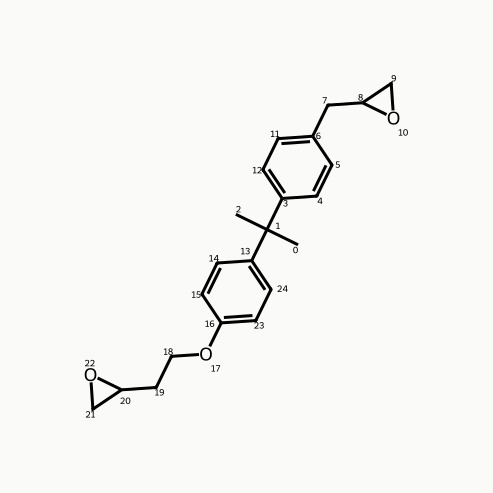 CC(C)(c1ccc(CC2CO2)cc1)c1ccc(OCCC2CO2)cc1